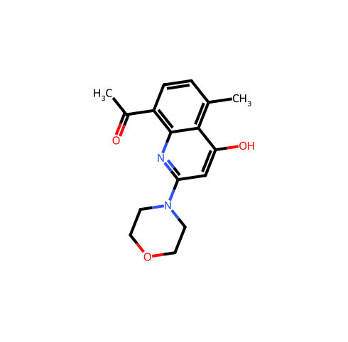 CC(=O)c1ccc(C)c2c(O)cc(N3CCOCC3)nc12